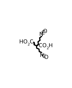 O=C=NCCCCC(C=CC(=O)O)=C(CCCCN=C=O)C(=O)O